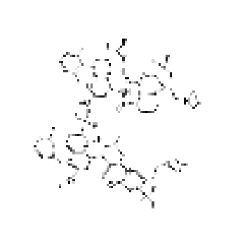 CCOC(=O)C[C@H](NC(=O)C(CC(C)C)n1cc(CCN2CC(C)C2)c(C(F)(F)F)cc1=O)c1cc(-c2c(C)cccc2C)cc(C(F)(F)F)c1F.Cc1cccc(C)c1-c1cc([C@H](CC(=O)O)NC(=O)C(CC(C)C)n2cc(CCN3CC(C)C3)c(C(F)(F)F)cc2=O)c(F)c(C(F)(F)F)c1